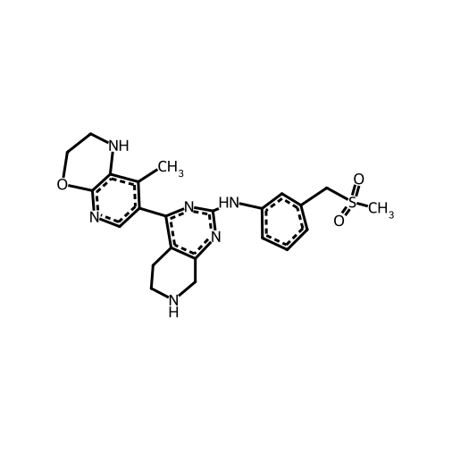 Cc1c(-c2nc(Nc3cccc(CS(C)(=O)=O)c3)nc3c2CCNC3)cnc2c1NCCO2